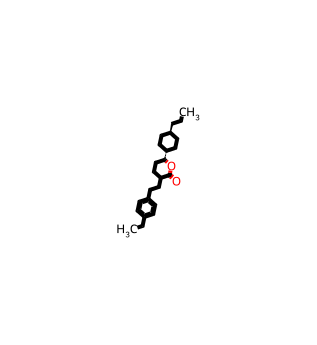 CCC[C@H]1CC[C@H](C2CCC(CCc3ccc(CC)cc3)C(=O)O2)CC1